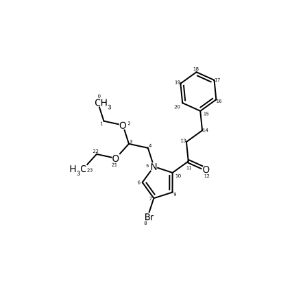 CCOC(Cn1cc(Br)cc1C(=O)CCc1ccccc1)OCC